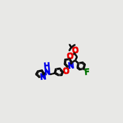 CC(C)(C)OC(=O)CC(c1ccc(F)cc1)c1cccc(Oc2ccc(CNc3ccccn3)cc2)n1